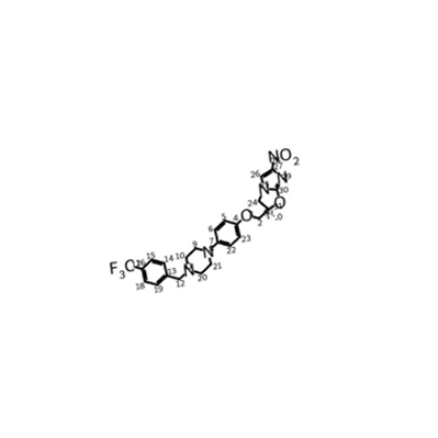 C[C@]1(COc2ccc(N3CCN(Cc4ccc(C(F)(F)F)cc4)CC3)cc2)Cn2cc([N+](=O)[O-])nc2O1